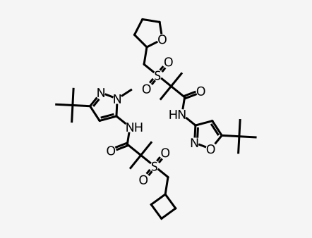 CC(C)(C)c1cc(NC(=O)C(C)(C)S(=O)(=O)CC2CCCO2)no1.Cn1nc(C(C)(C)C)cc1NC(=O)C(C)(C)S(=O)(=O)CC1CCC1